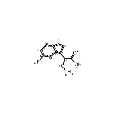 COC(C(=O)O)c1csc2ccc(F)cc12